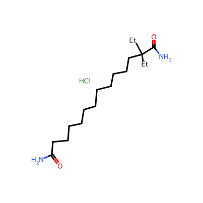 CCC(CC)(CCCCCCCCCCCC(N)=O)C(N)=O.Cl